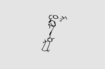 Cc1cc2c(cc1C#Cc1ccc(C(=O)O)cn1)C(C)(C)CCC2(C)C